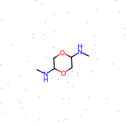 CNC1COC(NC)CO1